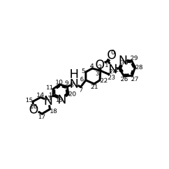 O=C1OC2(CCC(CNc3ccc(N4CCOCC4)nc3)CC2)CN1c1ccccn1